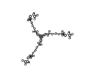 CN1Cc2c(Cl)cc(Cl)cc2[C@H](c2cccc(S(=O)(=O)NCCOCCOCCOCCNC(=O)CN3CCN(c4nc(N5CCN(CC(=O)NCCOCCOCCOCCNS(=O)(=O)c6cccc([C@@H]7CN(C)Cc8c(Cl)cc(Cl)cc87)c6)CC5)nc(N5CCN(CC(=O)NCCOCCOCCOCCNS(=O)(=O)c6cccc([C@@H]7CN(C)Cc8c(Cl)cc(Cl)cc87)c6)CC5)n4)CC3)c2)C1